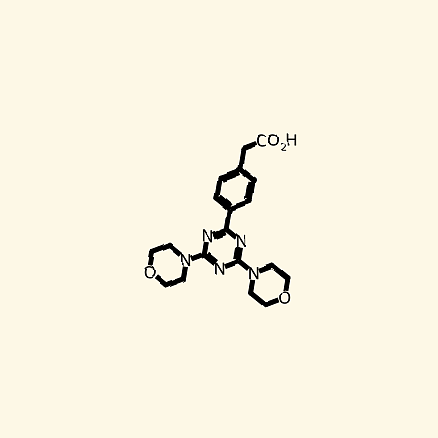 O=C(O)Cc1ccc(-c2nc(N3CCOCC3)nc(N3CCOCC3)n2)cc1